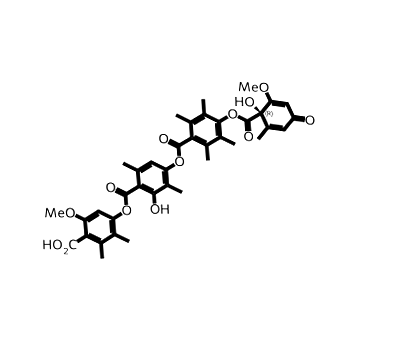 COC1=CC(=O)C=C(C)[C@]1(O)C(=O)Oc1c(C)c(C)c(C(=O)Oc2cc(C)c(C(=O)Oc3cc(OC)c(C(=O)O)c(C)c3C)c(O)c2C)c(C)c1C